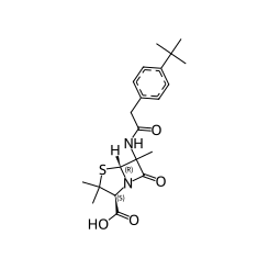 CC(C)(C)c1ccc(CC(=O)NC2(C)C(=O)N3[C@@H](C(=O)O)C(C)(C)S[C@@H]32)cc1